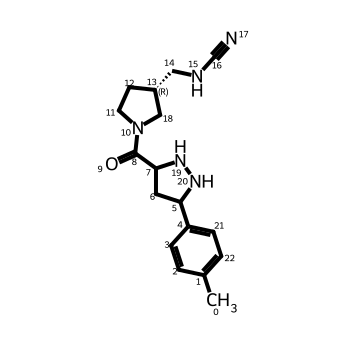 Cc1ccc(C2CC(C(=O)N3CC[C@H](CNC#N)C3)NN2)cc1